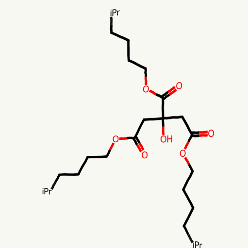 CC(C)CCCCOC(=O)CC(O)(CC(=O)OCCCCC(C)C)C(=O)OCCCCC(C)C